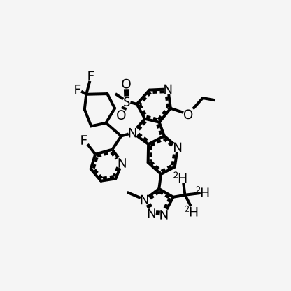 [2H]C([2H])([2H])c1nnn(C)c1-c1cnc2c3c(OCC)ncc(S(C)(=O)=O)c3n(C(c3ncccc3F)C3CCC(F)(F)CC3)c2c1